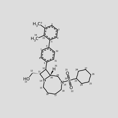 Cc1cccc(-c2ccc(C3[C@@H](CO)N4CCCCN(S(=O)(=O)C5CCCCC5)C[C@@H]34)cc2)c1C